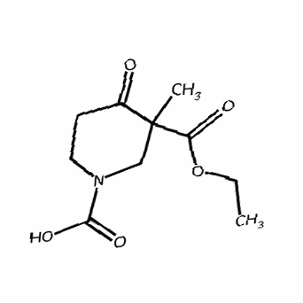 CCOC(=O)C1(C)CN(C(=O)O)CCC1=O